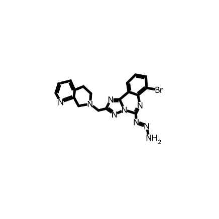 NN=Nc1nc2c(Br)cccc2c2nc(CN3CCc4cccnc4C3)nn12